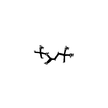 CCCC(C)(O)CCC(=O)OC(C)(C)CCC